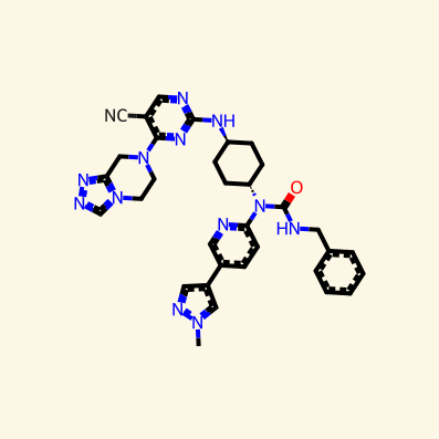 Cn1cc(-c2ccc(N(C(=O)NCc3ccccc3)[C@H]3CC[C@H](Nc4ncc(C#N)c(N5CCn6cnnc6C5)n4)CC3)nc2)cn1